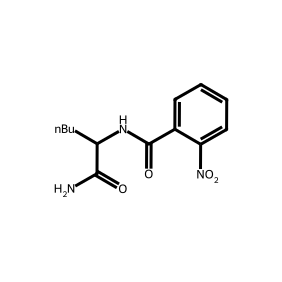 CCCCC(NC(=O)c1ccccc1[N+](=O)[O-])C(N)=O